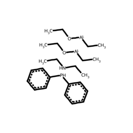 CCNCC.CC[O][Al][CH2]C.CC[O][Al][CH2]C.c1ccc(Pc2ccccc2)cc1